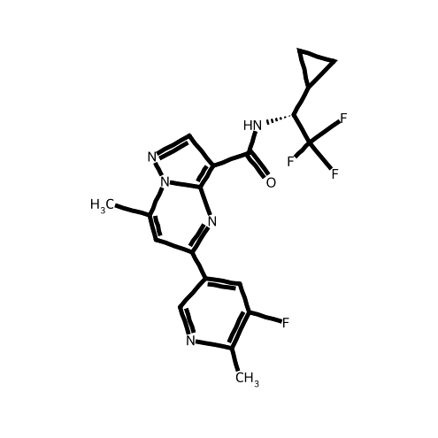 Cc1ncc(-c2cc(C)n3ncc(C(=O)N[C@H](C4CC4)C(F)(F)F)c3n2)cc1F